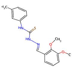 COc1cccc(/C=N/NC(=S)Nc2cccc(C)c2)c1OC